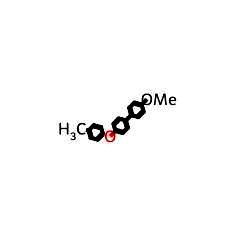 COc1ccc(-c2ccc(Oc3ccc(C)cc3)cc2)cc1